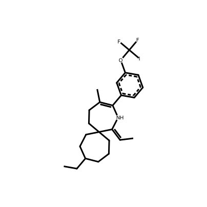 CC=C1NC(c2cccc(OC(F)(F)I)c2)=C(C)CCC12CCCC(CC)CC2